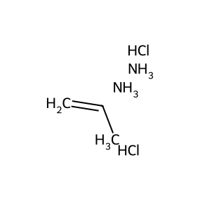 C=CC.Cl.Cl.N.N